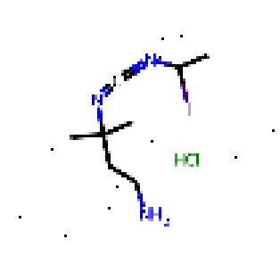 CC(I)N=C=NC(C)(C)CCN.Cl